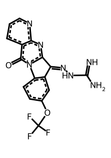 N=C(N)NN=C1c2cc(OC(F)(F)F)ccc2-n2c1nc1ncccc1c2=O